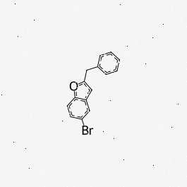 Brc1ccc2oc(Cc3ccccc3)cc2c1